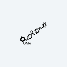 COc1ccccc1CN1CCN(C(=O)CN2CCN(CCc3cncs3)CC2)CC1